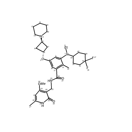 CCN(c1cc(O[C@H]2C[C@H](N3CCCCC3)C2)cc(C(=O)NCc2c(OC)cc(C)[nH]c2=O)c1C)C1CCC(F)(F)CC1